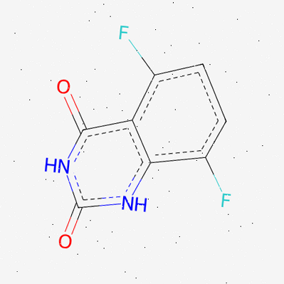 O=c1[nH]c(=O)c2c(F)ccc(F)c2[nH]1